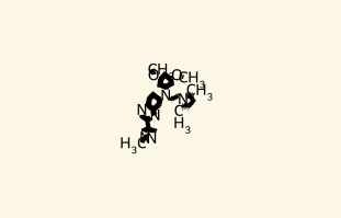 COc1cc(OC)cc(N(CCN2[C@H](C)CC[C@@H]2C)c2ccc3ncc(-c4cnn(C)c4)nc3c2)c1